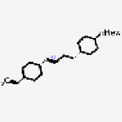 C=C[C@H]1CC[C@H](/C=C/CC[C@H]2CC[C@H](CCCCCC)CC2)CC1